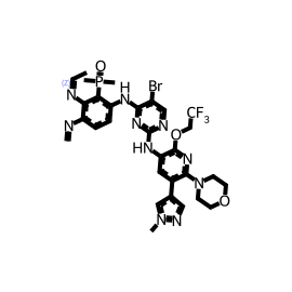 C=Nc1ccc(Nc2nc(Nc3cc(-c4cnn(C)c4)c(N4CCOCC4)nc3OCC(F)(F)F)ncc2Br)c(P(C)(C)=O)c1/N=C\C